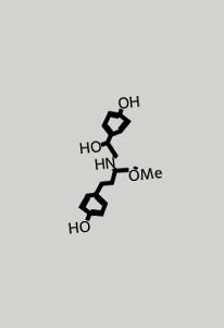 CC(CCc1ccc(O)cc1)NCC(O)c1ccc(O)cc1.COC